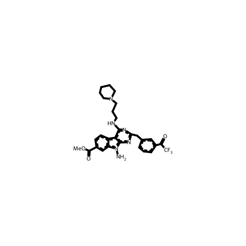 COC(=O)c1ccc2c3c(NCCCN4CCCCC4)nc(Cc4cccc(C(=O)C(F)(F)F)c4)nc3n(N)c2c1